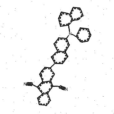 N#Cc1c2ccccc2c(C#N)c2cc(-c3ccc4cc(N(c5ccccc5)c5cccc6ccccc56)ccc4c3)ccc12